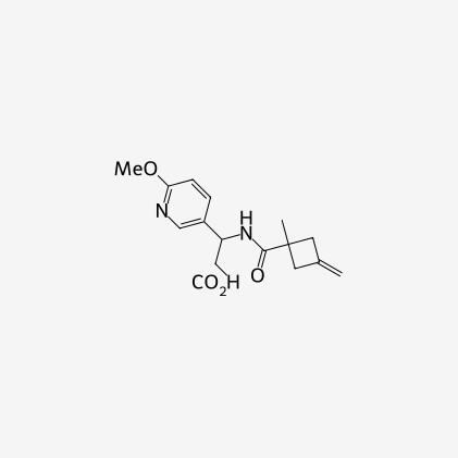 C=C1CC(C)(C(=O)NC(CC(=O)O)c2ccc(OC)nc2)C1